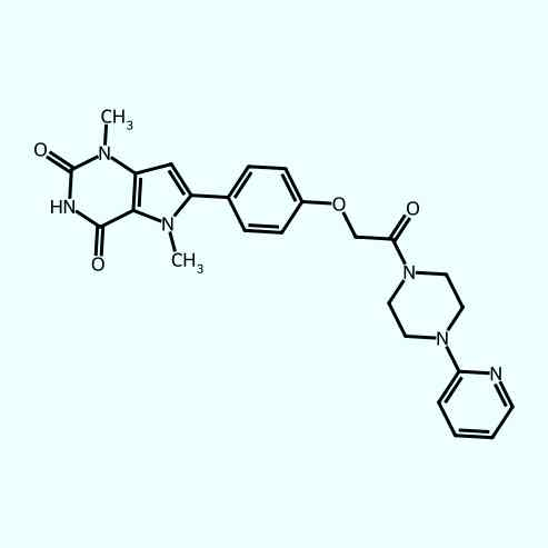 Cn1c(-c2ccc(OCC(=O)N3CCN(c4ccccn4)CC3)cc2)cc2c1c(=O)[nH]c(=O)n2C